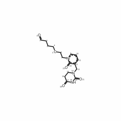 O=CCCCOCCn1cccc(CN2CCC(=O)NC2=O)c1=O